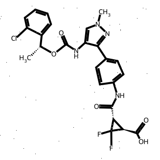 C[C@@H](OC(=O)Nc1cn(C)nc1-c1ccc(NC(=O)[C@@H]2[C@@H](C(=O)O)C2(F)F)cc1)c1ccccc1Cl